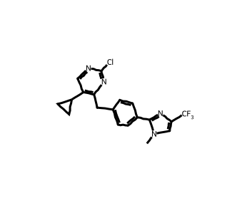 Cn1cc(C(F)(F)F)nc1-c1ccc(Cc2nc(Cl)ncc2C2CC2)cc1